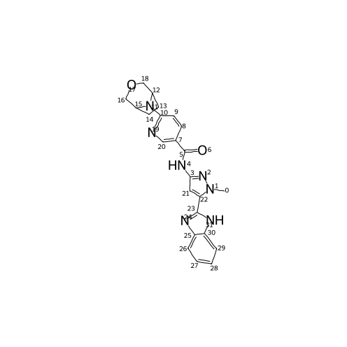 Cn1nc(NC(=O)c2ccc(N3C4CCC3COC4)nc2)cc1-c1nc2ccccc2[nH]1